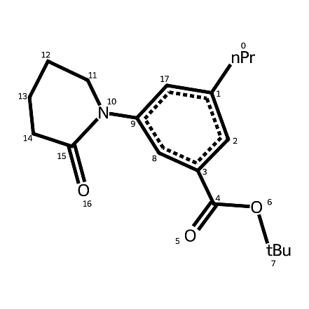 CCCc1cc(C(=O)OC(C)(C)C)cc(N2CCCCC2=O)c1